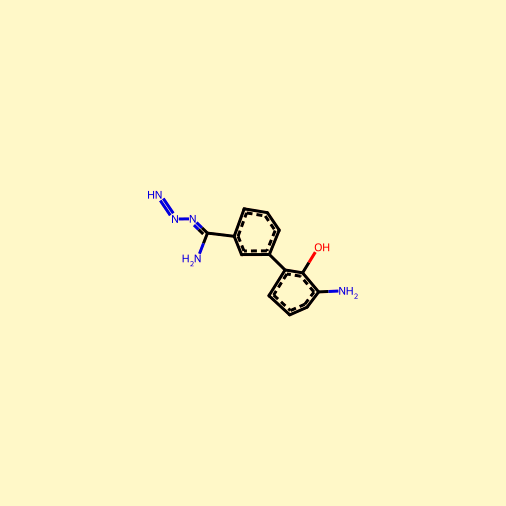 N=N/N=C(\N)c1cccc(-c2cccc(N)c2O)c1